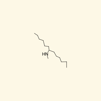 CCCCCCC(CCCCCC)NC